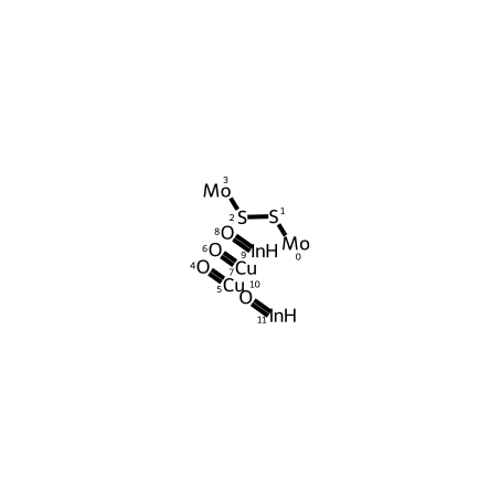 [Mo][S][S][Mo].[O]=[Cu].[O]=[Cu].[O]=[InH].[O]=[InH]